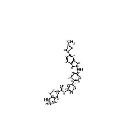 CN1CC(c2ccc3c(c2)CC(Nc2ncc(-c4nnc(CC(=O)N5CCC6=C(C5)NNN6)o4)cn2)C3)C1